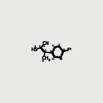 C/C(=C(\S)C#N)c1ccc(F)cc1